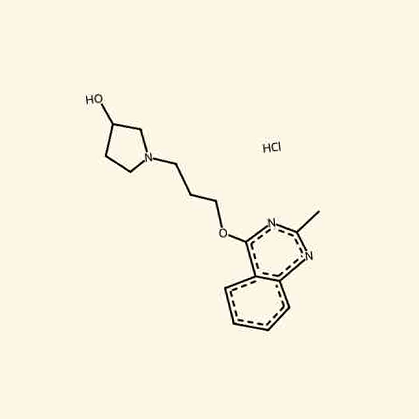 Cc1nc(OCCCN2CCC(O)C2)c2ccccc2n1.Cl